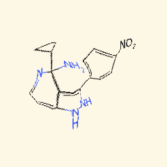 NC1(C2CC2)N=CC=C2NNC(c3ccc([N+](=O)[O-])cc3)=C21